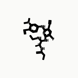 C#Cc1cc(F)c(NC(NCC)[C@H](C)NC(=C)CC)nc1Nc1ccc(C=C)c(N(C)C)c1